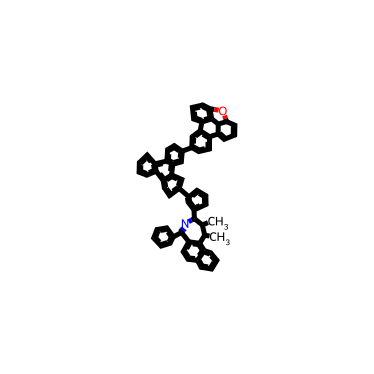 CC1c2c(ccc3ccccc23)C(c2ccccc2)=NC(c2cccc(-c3ccc4c5ccccc5c5ccc(-c6ccc7c(c6)-c6cccc8c6C6C7=CC=CC6O8)cc5c4c3)c2)C1C